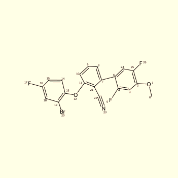 COc1cc(F)c(-c2cccc(Oc3ccc(F)cc3Br)c2C#N)cc1F